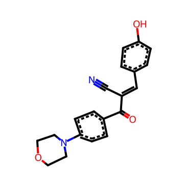 N#C/C(=C\c1ccc(O)cc1)C(=O)c1ccc(N2CCOCC2)cc1